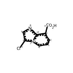 O=C(O)c1cccn2c(Cl)cnc12